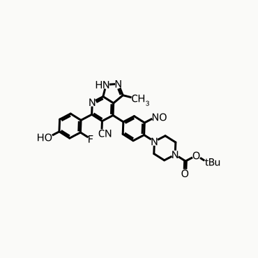 Cc1n[nH]c2nc(-c3ccc(O)cc3F)c(C#N)c(-c3ccc(N4CCN(C(=O)OC(C)(C)C)CC4)c(N=O)c3)c12